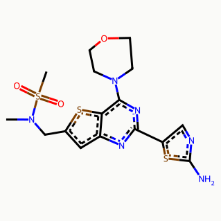 CN(Cc1cc2nc(-c3cnc(N)s3)nc(N3CCOCC3)c2s1)S(C)(=O)=O